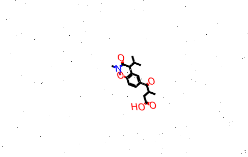 CC(CC(=O)O)C(=O)c1ccc2c(c1)C(C(C)C)C(=O)N(C)O2